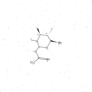 CC[C@H](C)C1OC(OC(=N)C(Cl)(Cl)Cl)C(C)[C@@H](C)[C@@H]1C